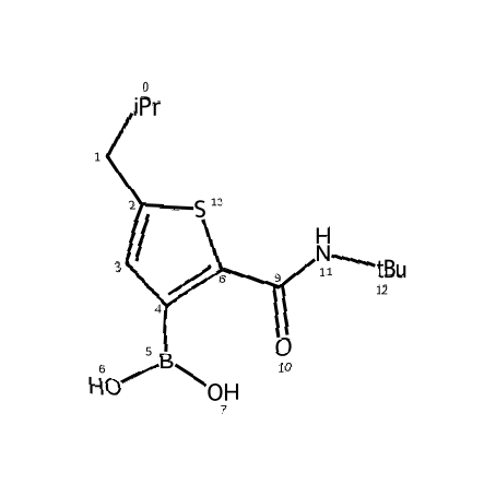 CC(C)Cc1cc(B(O)O)c(C(=O)NC(C)(C)C)s1